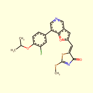 CSC1=NC(=O)C(=Cc2cc3cncc(-c4ccc(OC(C)C)c(F)c4)c3o2)S1